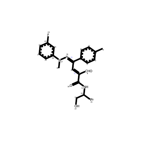 Cc1ccc(C(/C=C(\C=O)C(=O)NC(CO)C(C)C)=N/N(C)c2cccc(F)c2)cc1